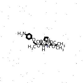 CC(C)(C)OC(=O)/N=C(/NC(=O)OC(C)(C)COc1ccc(N)cc1)n1cccn1